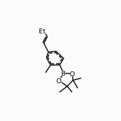 CC/C=C/c1ccc(B2OC(C)(C)C(C)(C)O2)c(C)c1